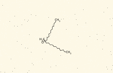 CCCCCCCCCCCC[N+](C)([O-])CCCCCCCCCCCC